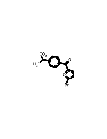 CC(C(=O)O)c1ccc(C(=O)c2ccc(Br)o2)cc1